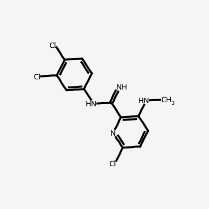 CNc1ccc(Cl)nc1C(=N)Nc1ccc(Cl)c(Cl)c1